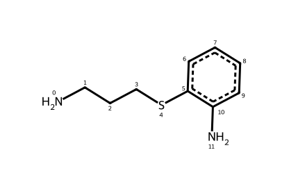 NCCCSc1ccccc1N